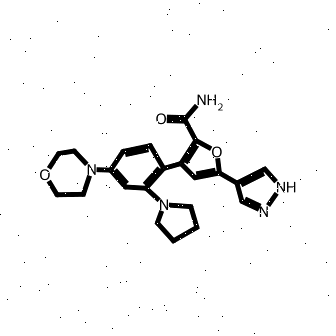 NC(=O)c1oc(-c2cn[nH]c2)cc1-c1ccc(N2CCOCC2)cc1N1CCCC1